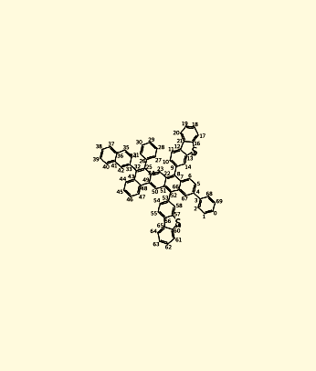 c1ccc(-c2ccc3c(-c4ccc5c(c4)sc4ccccc45)c4cc5c(-c6ccccc6)c(-c6ccc7ccccc7c6)c6ccccc6c5cc4c(-c4ccc5c(c4)sc4ccccc45)c3c2)cc1